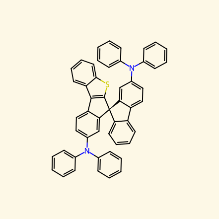 c1ccc(N(c2ccccc2)c2ccc3c(c2)[C@@]2(c4ccccc4-3)c3cc(N(c4ccccc4)c4ccccc4)ccc3-c3c2sc2ccccc32)cc1